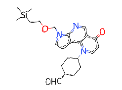 C[Si](C)(C)CCOCn1ccc2c1ncc1c(=O)ccn([C@H]3CC[C@H](C=O)CC3)c12